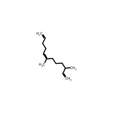 C=CCCC=C(C)CCCC(C)C=C